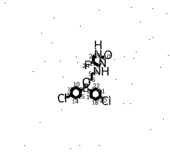 O=c1nc(NCCOB(c2ccc(Cl)cc2)c2ccc(Cl)cc2)c(F)c[nH]1